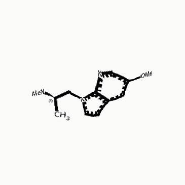 CN[C@H](C)Cn1ccc2cc(OC)cnc21